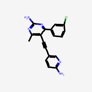 Cc1nc(N)nc(-c2cccc(Cl)c2)c1C#Cc1ccc(N)nc1